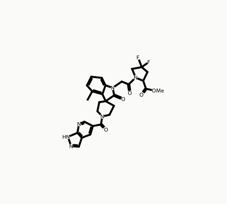 COC(=O)C1CC(F)(F)CN1C(=O)CN1C(=O)C2(CCN(C(=O)c3cnc4[nH]ncc4c3)CC2)c2c(C)cccc21